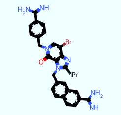 CC(C)c1nc2c(Br)cn(Cc3ccc(C(=N)N)cc3)c(=O)c2n1Cc1ccc2ccc(C(=N)N)cc2c1